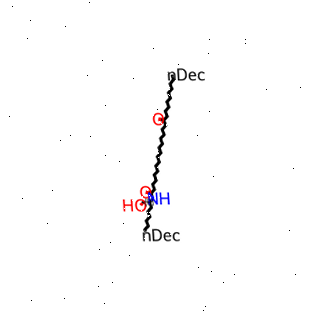 CCCCCCCCCCCCCCCCCCCC(=O)CCCCCCCCCCCCCCCC(=O)N[C@@H](CO)CCCCCCCCCCCCCCCC